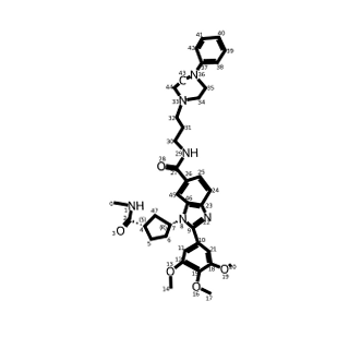 CNC(=O)[C@H]1CC[C@@H](n2c(-c3cc(OC)c(OC)c(OC)c3)nc3ccc(C(=O)NCCCN4CCN(c5ccccc5)CC4)cc32)C1